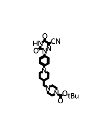 CC(C)(C)OC(=O)N1CCN(CC2CCN(c3ccc(-n4nc(C#N)c(=O)[nH]c4=O)cc3)CC2)CC1